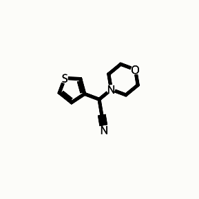 N#CC(c1ccsc1)N1CCOCC1